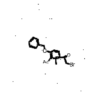 CC(=O)c1c(OCc2ccccc2)ccc(C(=O)CBr)c1C